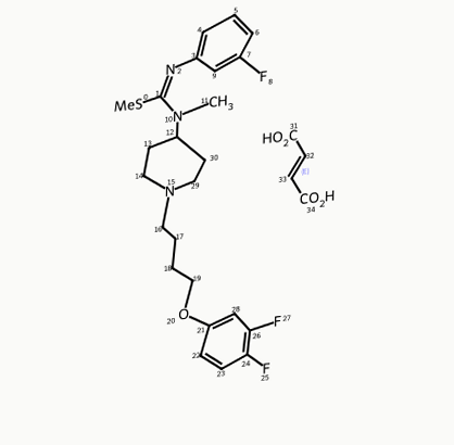 CSC(=Nc1cccc(F)c1)N(C)C1CCN(CCCCOc2ccc(F)c(F)c2)CC1.O=C(O)/C=C/C(=O)O